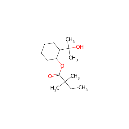 CCC(C)(C)C(=O)OC1CCCCC1C(C)(C)O